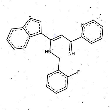 N=C(/C=C(\NCc1ccccc1F)c1csc2ccccc12)c1ccccn1